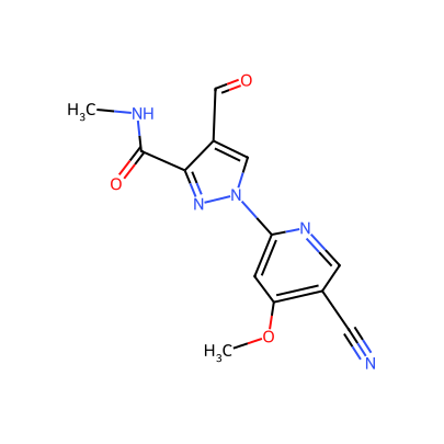 CNC(=O)c1nn(-c2cc(OC)c(C#N)cn2)cc1C=O